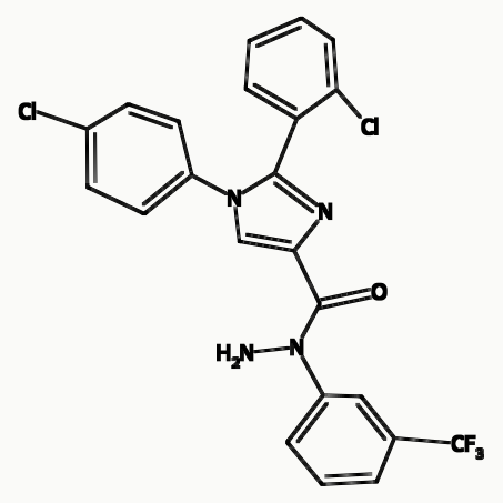 NN(C(=O)c1cn(-c2ccc(Cl)cc2)c(-c2ccccc2Cl)n1)c1cccc(C(F)(F)F)c1